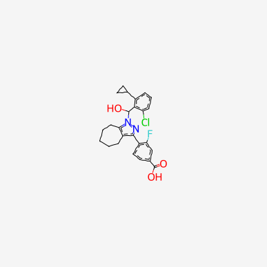 O=C(O)c1ccc(-c2nn(C(O)c3c(Cl)cccc3C3CC3)c3c2CCCCC3)c(F)c1